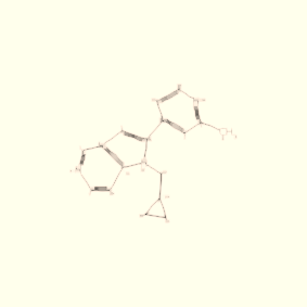 Cc1cc(-c2cc3cnccc3n2CC2CC2)ccn1